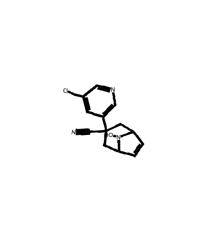 N#CC1(c2cncc(Cl)c2)CC2C=CC(C1)N2O